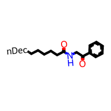 CCCCCCCCCCCCCCCC(=O)NCC(=O)c1ccccc1